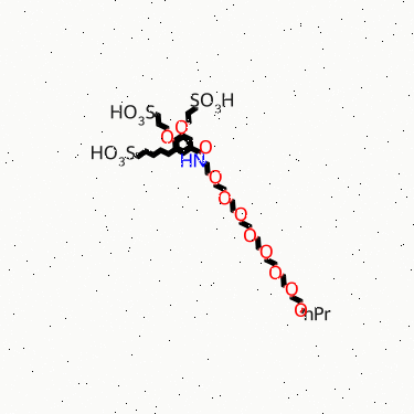 CCCOCCOCCOCCOCCOCCOCCOCCOCCNC(=O)c1cc(CCCCCS(=O)(=O)O)c(OCCCS(=O)(=O)O)c(OCCCS(=O)(=O)O)c1